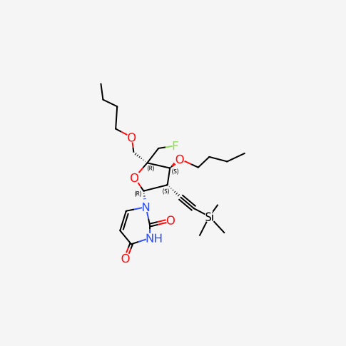 CCCCOC[C@@]1(CF)O[C@@H](n2ccc(=O)[nH]c2=O)[C@@H](C#C[Si](C)(C)C)[C@@H]1OCCCC